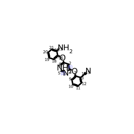 C=C(/C=C(\N=C/N)Oc1ccccc1C#N)Oc1ccccc1N